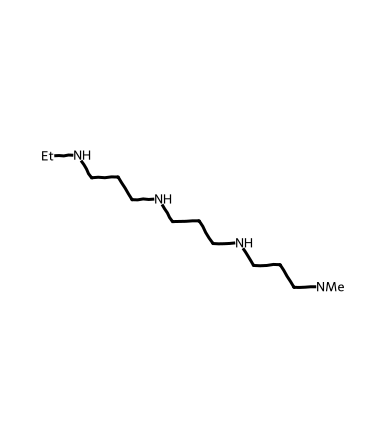 CCNCCCNCCCNCCCNC